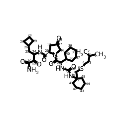 CC(C)CCSCC1(NC(=O)N[C@H](C(=O)N2CC(=O)C[C@H]2C(=O)NC(CC2CCC2)C(=O)C(N)=O)C2CCCCC2)CCCCC1